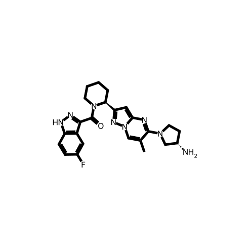 Cc1cn2nc([C@@H]3CCCCN3C(=O)c3n[nH]c4ccc(F)cc34)cc2nc1N1CC[C@H](N)C1